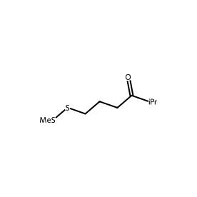 CSSCCCC(=O)C(C)C